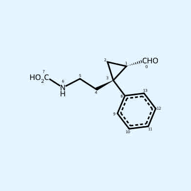 O=C[C@H]1C[C@@]1(CCNC(=O)O)c1ccccc1